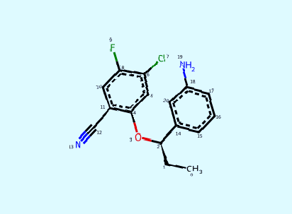 CC[C@@H](Oc1cc(Cl)c(F)cc1C#N)c1cccc(N)c1